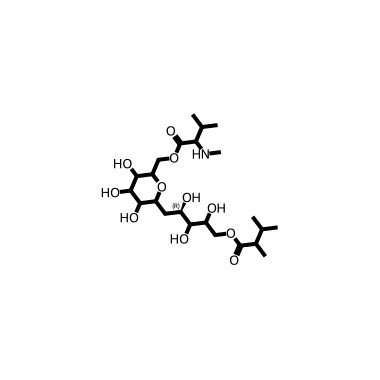 CNC(C(=O)OCC1OC(C[C@@H](O)C(O)C(O)COC(=O)C(C)C(C)C)C(O)C(O)C1O)C(C)C